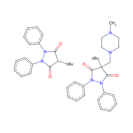 CCCCC1(CN2CCN(C)CC2)C(=O)N(c2ccccc2)N(c2ccccc2)C1=O.CCCCC1C(=O)N(c2ccccc2)N(c2ccccc2)C1=O